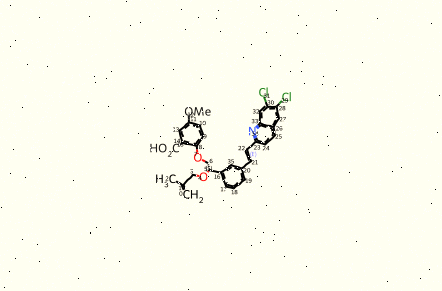 C=C(C)CO[C@H](COc1ccc(OC)cc1C(=O)O)c1cccc(/C=C/c2ccc3cc(Cl)c(Cl)cc3n2)c1